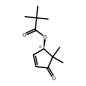 CC(C)(C)C(=O)O[C@@H]1C=CC(=O)C1(C)C